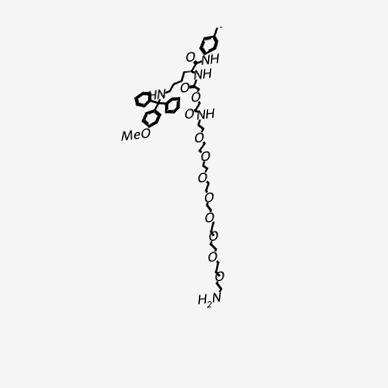 [CH2]c1ccc(NC(=O)[C@H](CCCCNC(c2ccccc2)(c2ccccc2)c2ccc(OC)cc2)NC(=O)COCC(=O)NCCOCCOCCOCCOCCOCCOCCOCCOCCN)cc1